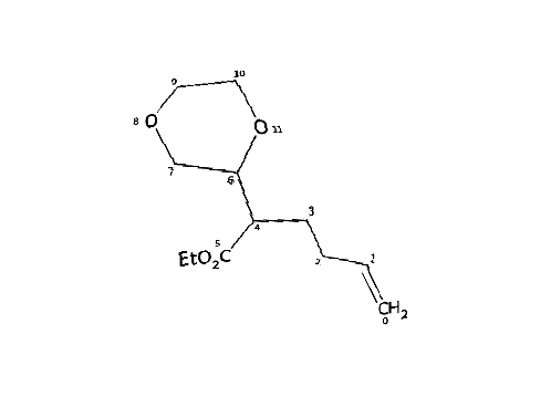 C=CCCC(C(=O)OCC)C1COCCO1